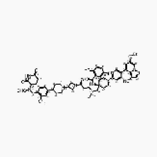 CCCN(CCC(=O)N1CC(N2CCC(c3ccc(CN(C=O)C4CCC(=O)NC4=O)c(C)c3)CC2)C1)CC1(NC(=O)c2cc(F)ccc2F)CCN(c2ccc(-c3cc(OCC)cn4ncc(C#N)c34)cn2)CC1